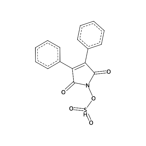 O=C1C(c2ccccc2)=C(c2ccccc2)C(=O)N1O[SH](=O)=O